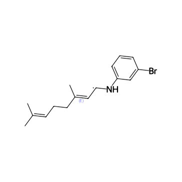 CC(C)=CCC/C(C)=C/[CH]Nc1cccc(Br)c1